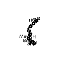 COc1cc(N2CCN(CC3CCN(c4ccc(N5CCC(=O)NC5O)cc4)CC3)CC2)c(C)cc1Nc1ncc(Br)c(Nc2ccc3nccnc3c2P(C)(C)=O)n1